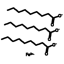 CCCCCCCCC(=O)[O-].CCCCCCCCC(=O)[O-].CCCCCCCCC(=O)[O-].[Fe+3]